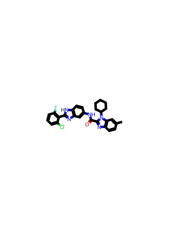 Cc1ccc2nc(C(=O)Nc3ccc4[nH]c(-c5c(F)cccc5Cl)nc4c3)n(C3CCCCC3)c2c1